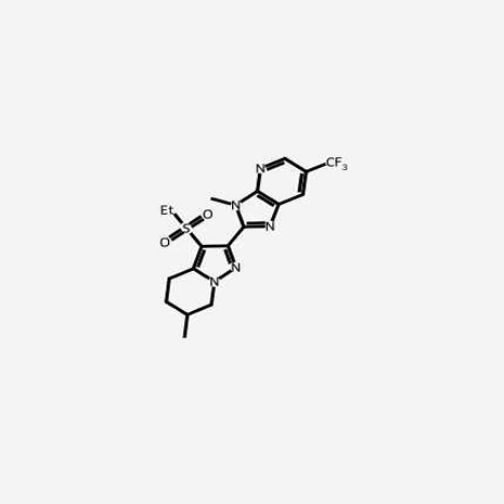 CCS(=O)(=O)c1c(-c2nc3cc(C(F)(F)F)cnc3n2C)nn2c1CCC(C)C2